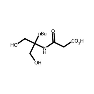 CCCCC(CO)(CO)NC(=O)CC(=O)O